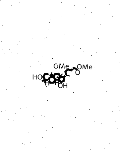 COC(=O)CCC(C[C@@H](C)C1C[C@H](O)C2(C)[C@@H]3CC[C@H]4C(C)(C)[C@@H](O)CC[C@@]45CC35CC[C@]12C)OC